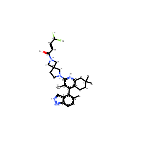 Cc1ccc2[nH]ncc2c1-c1c(C#N)c(N2CCC3(CN(C(=O)/C=C/C(F)F)C3)C2)nc2c1CCC(C)(C)C2